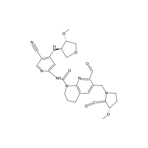 CO[C@H]1CCN(Cc2cc3c(nc2C=O)N(C(=O)Nc2cc(N[C@@H]4COC[C@H]4OC)c(C#N)cn2)CCC3)C1=C=O